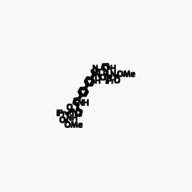 COC(=O)NC(C(=O)N1CCCC1c1ccc(-c2ccc(-c3ccc(-c4cnc([C@@H]5CCCN5C(=O)[C@@H](NC(=O)OC)C(C)C)[nH]4)cc3)cc2)[nH]1)C(C)C